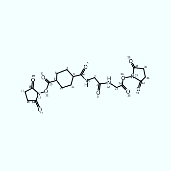 O=C(CNC(=O)C1CCC(C(=O)ON2C(=O)CCC2=O)CC1)NCC(=O)ON1C(=O)CCC1=O